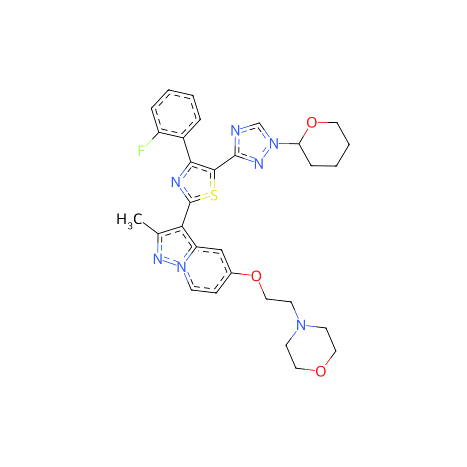 Cc1nn2ccc(OCCN3CCOCC3)cc2c1-c1nc(-c2ccccc2F)c(-c2ncn(C3CCCCO3)n2)s1